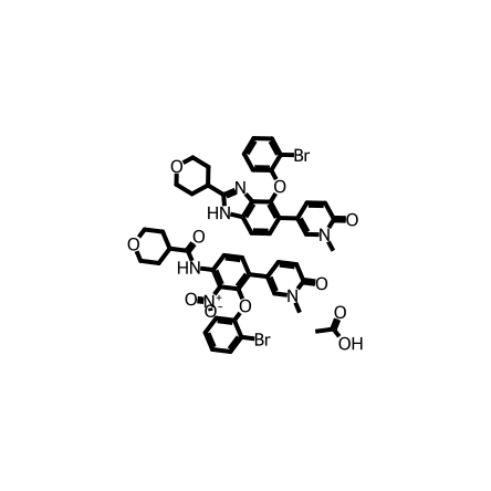 CC(=O)O.Cn1cc(-c2ccc(NC(=O)C3CCOCC3)c([N+](=O)[O-])c2Oc2ccccc2Br)ccc1=O.Cn1cc(-c2ccc3[nH]c(C4CCOCC4)nc3c2Oc2ccccc2Br)ccc1=O